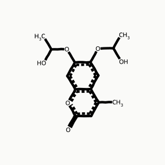 Cc1cc(=O)oc2cc(OC(C)O)c(OC(C)O)cc12